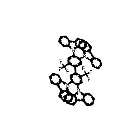 FC(F)(F)c1cc(-n2c3ccccc3c3ccccc32)c(-n2c3ccccc3c3ccccc32)cc1-c1cc(-n2c3ccccc3c3ccccc32)c(-n2c3ccccc3c3ccccc32)cc1C(F)(F)F